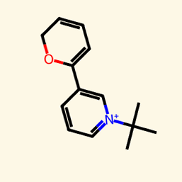 CC(C)(C)[n+]1cccc(C2=CC=CCO2)c1